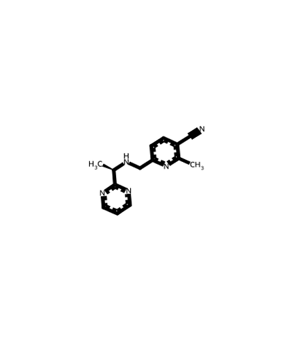 Cc1nc(CN[C@H](C)c2ncccn2)ccc1C#N